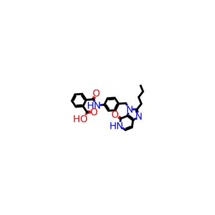 CCCCc1nc2cc[nH]c(=O)c2n1Cc1ccc(NC(=O)c2ccccc2C(=O)O)cc1